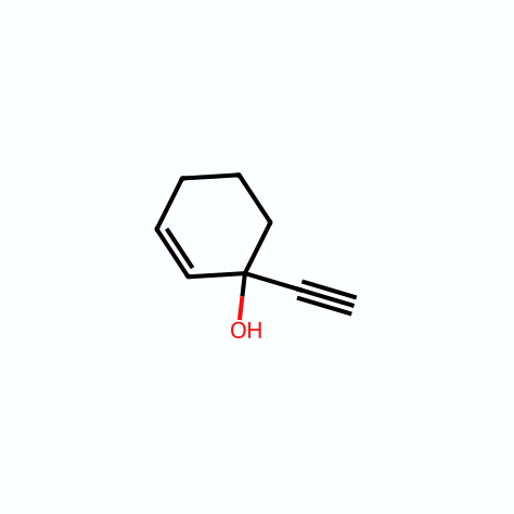 C#CC1(O)C=CCCC1